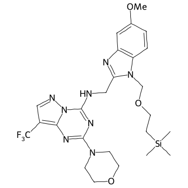 COc1ccc2c(c1)nc(CNc1nc(N3CCOCC3)nc3c(C(F)(F)F)cnn13)n2COCC[Si](C)(C)C